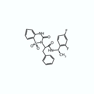 C[C@@H](NC(=O)C(Cc1ccccc1)N1C(=O)Nc2ccccc2S1(=O)=O)c1ccc(F)cc1F